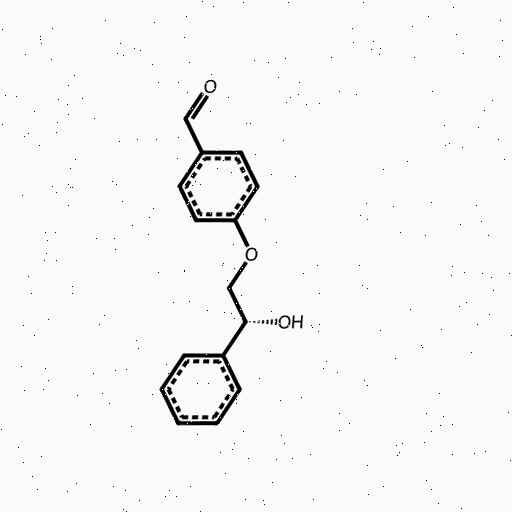 O=Cc1ccc(OC[C@H](O)c2ccccc2)cc1